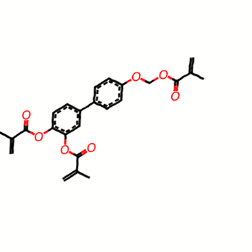 C=C(C)C(=O)OCOc1ccc(-c2ccc(OC(=O)C(=C)C)c(OC(=O)C(=C)C)c2)cc1